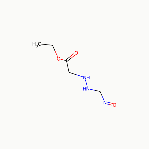 CCOC(=O)CNNCN=O